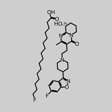 Cc1nc2n(c(=O)c1CCN1CCC(c3noc4cc(F)ccc34)CC1)CCC[C@H]2O.O=C(O)CCCCCCCCCCCCCCCF